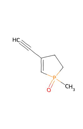 C#CC1=CP(C)(=O)CC1